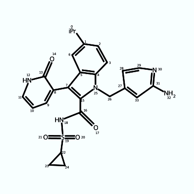 CC(C)c1ccc2c(c1)c(-c1ccc[nH]c1=O)c(C(=O)NS(=O)(=O)C1CC1)n2Cc1ccnc(N)c1